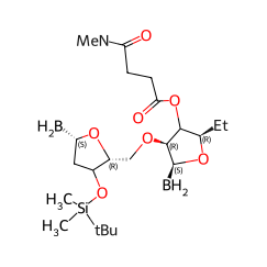 B[C@@H]1O[C@H](CC)C(OC(=O)CCC(=O)NC)[C@@H]1OC[C@H]1O[C@@H](B)CC1O[Si](C)(C)C(C)(C)C